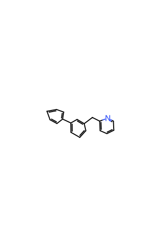 c1ccc(-c2cccc(Cc3ccccn3)c2)cc1